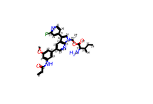 C=CC(=O)Nc1cc(OC)cc(-c2cnc3c(c2)c(-c2ccnc(F)c2)cn3[C@H](C)OC(=O)C(N)C(C)CC)c1